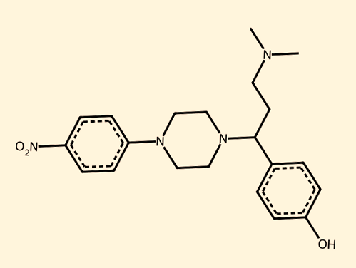 CN(C)CCC(c1ccc(O)cc1)N1CCN(c2ccc([N+](=O)[O-])cc2)CC1